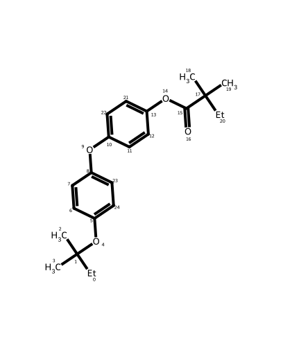 CCC(C)(C)Oc1ccc(Oc2ccc(OC(=O)C(C)(C)CC)cc2)cc1